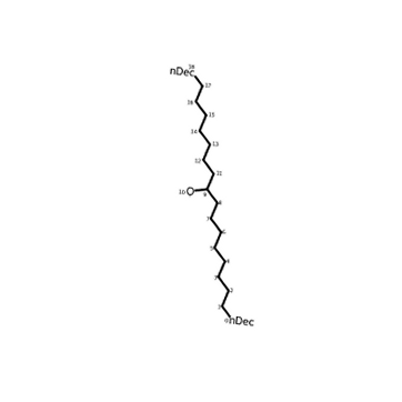 CCCCCCCCCCCCCCCCCCC([O])CCCCCCCCCCCCCCCCC